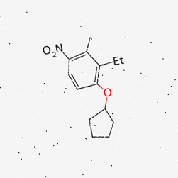 CCc1c(OC2CCCC2)ccc([N+](=O)[O-])c1C